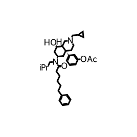 CC(=O)Oc1cccc([C@@]23CCN(CC4CC4)C[C@H]2C(O)C[C@H](N(CC(C)C)C(=O)CCCCCc2ccccc2)C3)c1